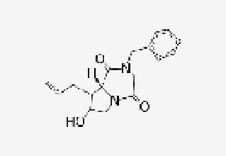 C=CCC1C(O)CN2C(=O)CN(Cc3ccccc3)C(=O)[C@@H]12